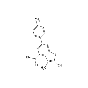 CCN(CC)c1nc(-c2ccc(C)cc2)nc2sc(C#N)c(C)c12